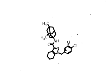 CC12CC3CC(C)(C1)CC(NC(=O)c1nn(Cc4ccc(Cl)c(Cl)c4)c4c1CCCC4)(C3)C2